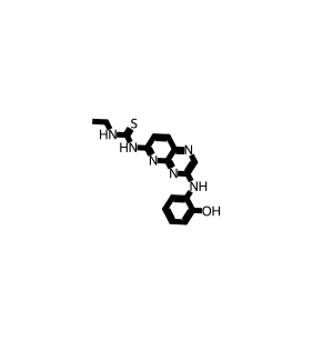 CCNC(=S)Nc1ccc2ncc(Nc3ccccc3O)nc2n1